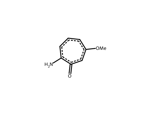 COc1cccc(N)c(=O)c1